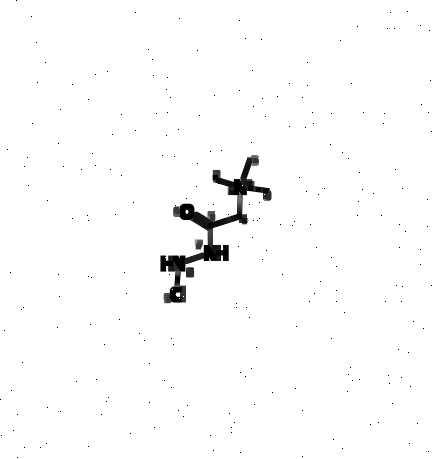 C[N+](C)(C)CC(=O)NNCl